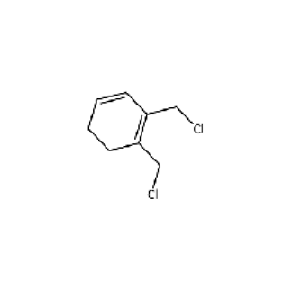 ClCC1=C(CCl)CCC=C1